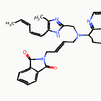 C/C=C\C=C/c1[nH]c(CN(C/C=C/CN2C(=O)c3ccccc3C2=O)C2CCCc3cccnc32)nc1C